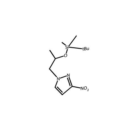 CC(Cn1ccc([N+](=O)[O-])n1)O[Si](C)(C)C(C)(C)C